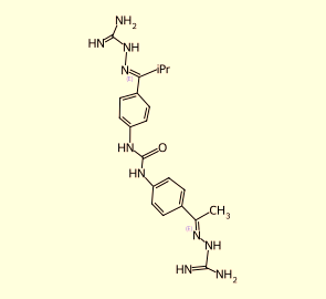 C/C(=N\NC(=N)N)c1ccc(NC(=O)Nc2ccc(/C(=N/NC(=N)N)C(C)C)cc2)cc1